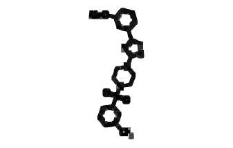 COc1cccc(-c2csc(N3CCN(S(=O)(=O)c4cccc(C(F)(F)F)c4)CC3)n2)c1